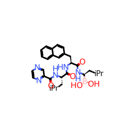 CC(C)C[C@H](NC(=O)[C@H](Cc1ccc2ccccc2c1)NC(=O)[C@H](CC(C)C)NC(=O)c1cnccn1)B(O)O